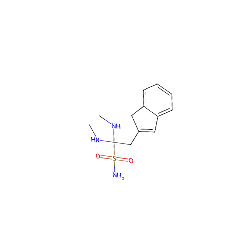 CNC(CC1=Cc2ccccc2C1)(NC)S(N)(=O)=O